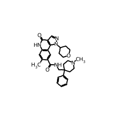 Cc1cc2[nH]c(=O)c3cnn(C4CCOCC4)c3c2cc1C(=O)NCC1(c2ccccc2)CCN(C)CC1